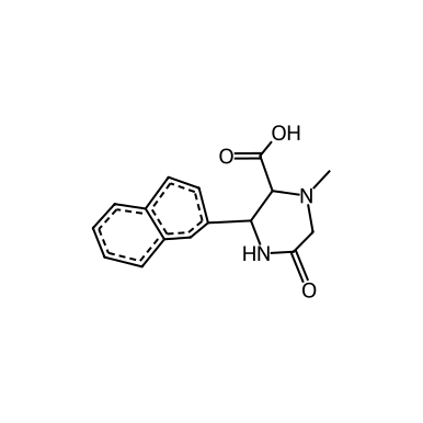 CN1CC(=O)NC(c2ccc3ccccc3c2)C1C(=O)O